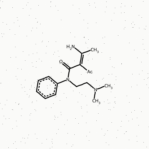 CC(=O)/C(C(=O)N(CCN(C)C)c1ccccc1)=C(\C)N